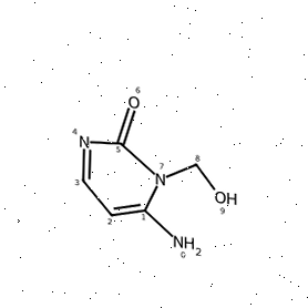 Nc1ccnc(=O)n1CO